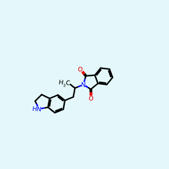 CC(Cc1ccc2c(c1)CCN2)N1C(=O)c2ccccc2C1=O